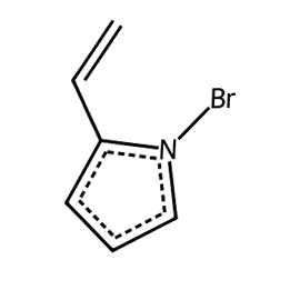 C=Cc1cccn1Br